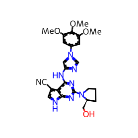 COc1cc(-n2cnc(Nc3nc(N4CCC[C@H]4CO)nc4[nH]cc(C#N)c34)c2)cc(OC)c1OC